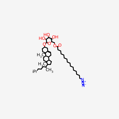 CC(C)CCCC(C)C1CCC2C3CC=C4CC(O[C@@H]5OC(COC(=O)CCCCCCCCCCCCCCCN=[N+]=[N-])[C@H](O)[C@H](O)C5O)CCC4(C)C3CCC12C